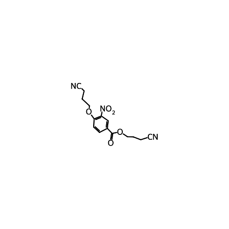 N#CCCCOC(=O)c1ccc(OCCCC#N)c([N+](=O)[O-])c1